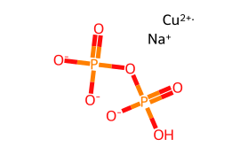 O=P([O-])([O-])OP(=O)([O-])O.[Cu+2].[Na+]